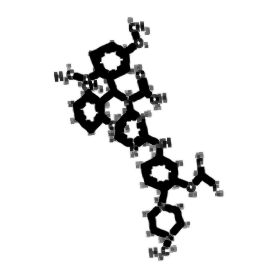 COc1ccc(OC)c(C(c2c(C)cccc2C)N(C(=O)O)c2ccnc(Nc3ccc(N4CCN(C)CC4)c(OC(F)F)c3)n2)c1